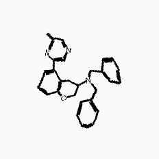 Cc1cncc(-c2cccc3c2CC(N(Cc2ccccc2)Cc2ccccc2)CO3)n1